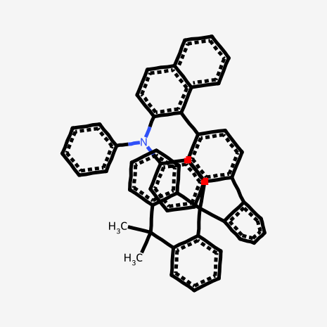 CC1(C)c2ccccc2C2(c3ccccc3-c3ccc(-c4c(N(c5ccccc5)c5ccccc5)ccc5ccccc45)cc32)c2ccccc21